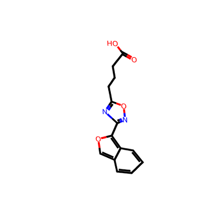 O=C(O)CCCc1nc(-c2occ3ccccc23)no1